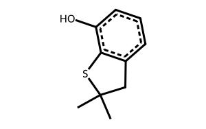 CC1(C)Cc2cccc(O)c2S1